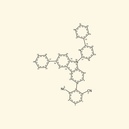 N#Cc1cccc(C#N)c1-c1ccc2c(c1)c1cc(-c3ccccc3)ccc1n2-c1cccc(-c2ccccc2)c1